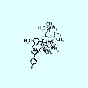 C=CCOC1(c2ccc(C)c(Cc3ccc(-c4ccc(F)cc4)s3)c2)OC(CO[Si](C)(C)C)C(O[Si](C)(C)C)C(O[Si](C)(C)C)C1O[Si](C)(C)C